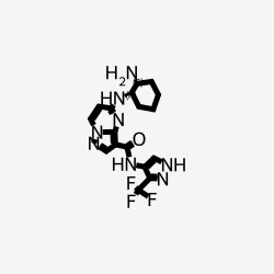 N[C@H]1CCCC[C@H]1Nc1ccn2ncc(C(=O)Nc3c[nH]nc3C(F)(F)F)c2n1